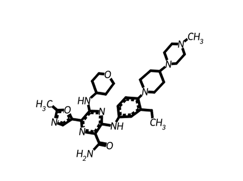 CCc1cc(Nc2nc(NC3CCOCC3)c(-c3cnc(C)o3)nc2C(N)=O)ccc1N1CCC(N2CCN(C)CC2)CC1